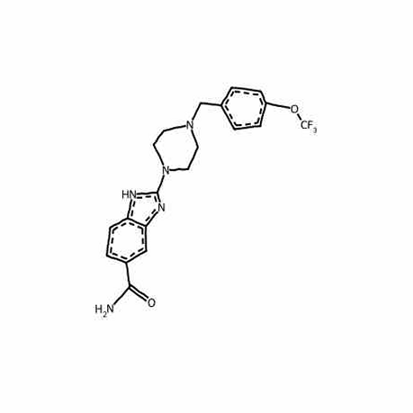 NC(=O)c1ccc2[nH]c(N3CCN(Cc4ccc(OC(F)(F)F)cc4)CC3)nc2c1